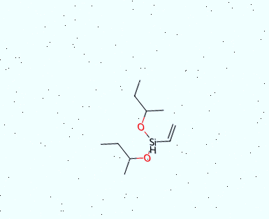 C=C[SiH](OC(C)CC)OC(C)CC